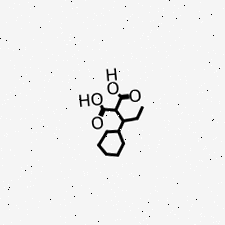 CCC(C1CCCCC1)C(C(=O)O)C(=O)O